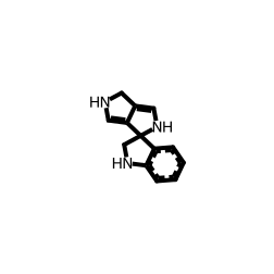 C1=C2CNC=C2C2(CNc3ccccc32)N1